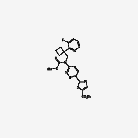 CCOC(=O)c1cnc(-c2ccc(N(CC3(c4ncccc4F)CCC3)C(=O)OC(C)(C)C)nn2)s1